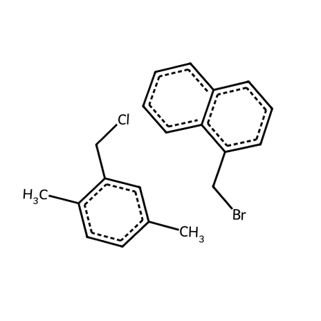 BrCc1cccc2ccccc12.Cc1ccc(C)c(CCl)c1